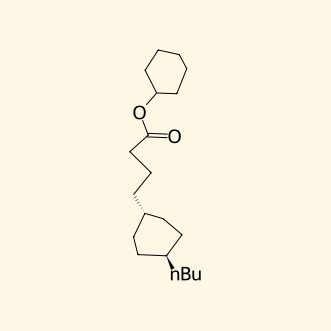 CCCC[C@H]1CC[C@H](CCCC(=O)OC2CCCCC2)CC1